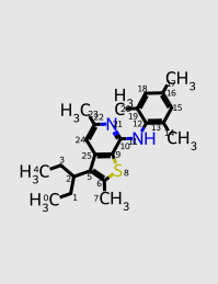 CCC(CC)c1c(C)sc2c(Nc3c(C)cc(C)cc3C)nc(C)cc12